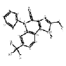 Cn1c(CCl)nc2c(=O)n(-c3ccccc3)c3cc(C(F)(F)F)ccc3c21